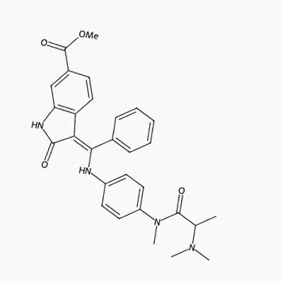 COC(=O)c1ccc2c(c1)NC(=O)/C2=C(\Nc1ccc(N(C)C(=O)C(C)N(C)C)cc1)c1ccccc1